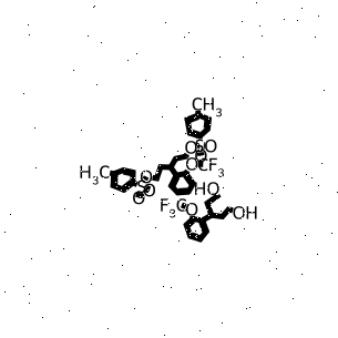 Cc1ccc(S(=O)(=O)OCCC(CCOS(=O)(=O)c2ccc(C)cc2)c2ccccc2OC(F)(F)F)cc1.OCCC(CCO)c1ccccc1OC(F)(F)F